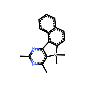 Cc1nc(C)c2c(n1)-c1c(ccc3ccccc13)[Si]2(C)C